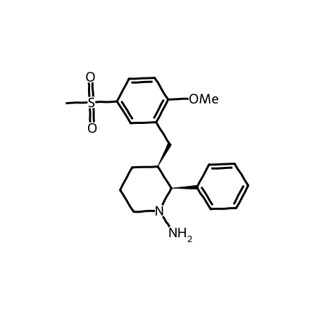 COc1ccc(S(C)(=O)=O)cc1C[C@@H]1CCCN(N)[C@@H]1c1ccccc1